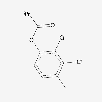 Cc1ccc(OC(=O)C(C)C)c(Cl)c1Cl